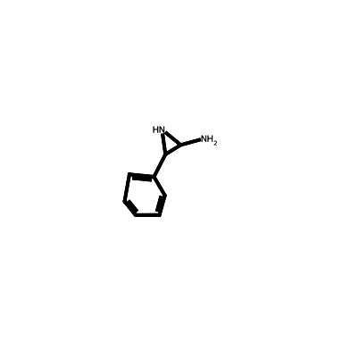 NC1NC1c1ccccc1